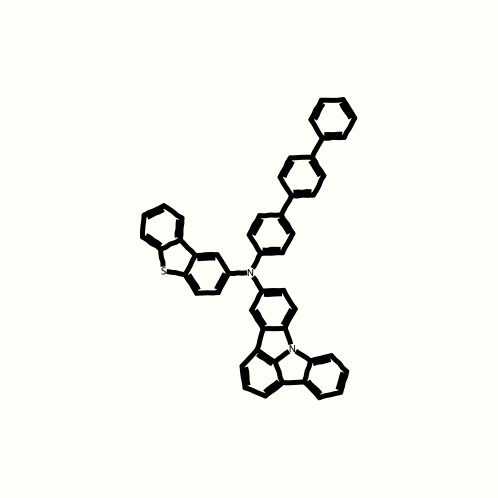 c1ccc(-c2ccc(-c3ccc(N(c4ccc5sc6ccccc6c5c4)c4ccc5c(c4)c4cccc6c7ccccc7n5c64)cc3)cc2)cc1